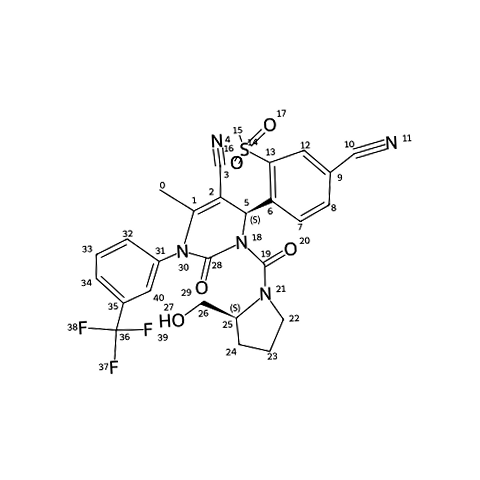 CC1=C(C#N)[C@@H](c2ccc(C#N)cc2S(C)(=O)=O)N(C(=O)N2CCC[C@H]2CO)C(=O)N1c1cccc(C(F)(F)F)c1